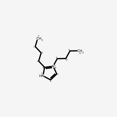 CCCCc1[nH]cc[n+]1CCCC